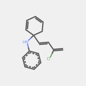 C=C(Cl)C=CC1(Nc2ccccc2)C=CC=CC1